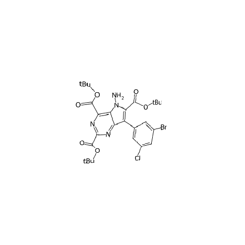 CC(C)(C)OC(=O)c1nc(C(=O)OC(C)(C)C)c2c(n1)c(-c1cc(Cl)cc(Br)c1)c(C(=O)OC(C)(C)C)n2N